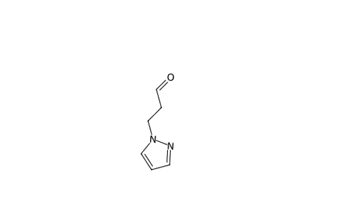 O=CCCn1cccn1